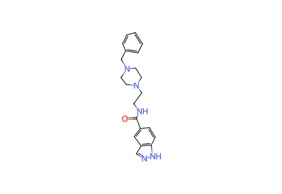 O=C(NCCN1CCN(Cc2ccccc2)CC1)c1ccc2[nH]ncc2c1